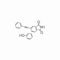 O=C1NC(=O)c2cc(C#Cc3ccccc3)ccc21.Oc1ccccc1